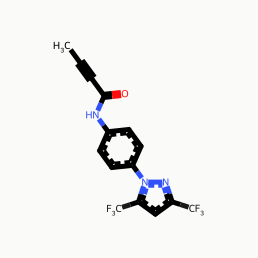 CC#CC(=O)Nc1ccc(-n2nc(C(F)(F)F)cc2C(F)(F)F)cc1